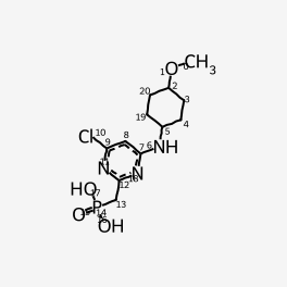 COC1CCC(Nc2cc(Cl)nc(CP(=O)(O)O)n2)CC1